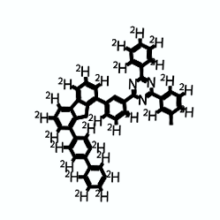 [2H]c1c(-c2nc(-c3c([2H])c([2H])c([2H])c([2H])c3[2H])nc(-c3c([2H])c([2H])c([2H])c(C)c3[2H])n2)cc(-c2c([2H])c([2H])c([2H])c3c2Cc2c(-c4c([2H])c([2H])c(-c5c([2H])c([2H])c([2H])c([2H])c5[2H])c([2H])c4[2H])c([2H])c([2H])c([2H])c2-3)c([2H])c1[2H]